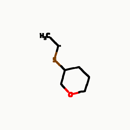 C[CH]SC1CCCOC1